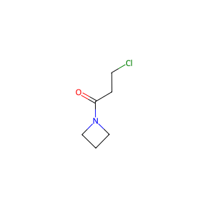 O=C(CCCl)N1CCC1